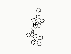 c1ccc(-c2ccc([Si]3(c4ccccc4)c4ccccc4-n4c5ccc(-n6c7ccccc7c7cc([Si](c8ccccc8)(c8ccccc8)c8ccccc8)ccc76)cc5c5cccc3c54)cc2)cc1